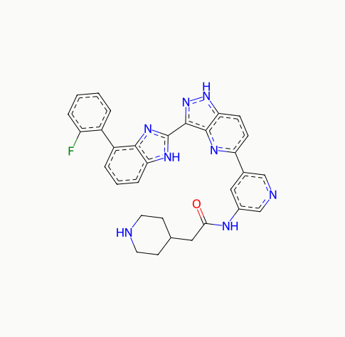 O=C(CC1CCNCC1)Nc1cncc(-c2ccc3[nH]nc(-c4nc5c(-c6ccccc6F)cccc5[nH]4)c3n2)c1